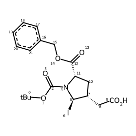 CC(C)(C)OC(=O)N1[C@H](I)[C@@H](CC(=O)O)C[C@H]1C(=O)OCc1ccccc1